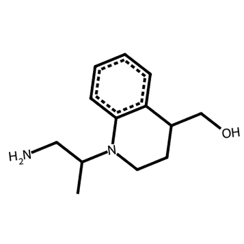 CC(CN)N1CCC(CO)c2ccccc21